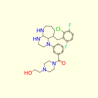 O=C(c1cccc(N2CCNC3NCCCC(Cc4c(F)ccc(F)c4Cl)C32)c1)N1CCN(CCO)CC1